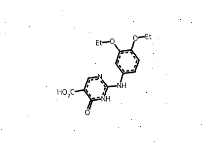 CCOc1ccc(Nc2ncc(C(=O)O)c(=O)[nH]2)cc1OCC